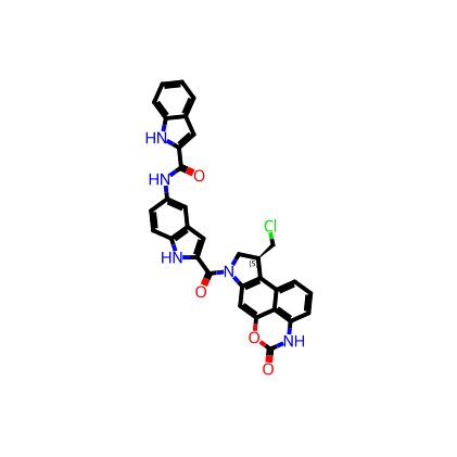 O=C1Nc2cccc3c4c(cc(c23)O1)N(C(=O)c1cc2cc(NC(=O)c3cc5ccccc5[nH]3)ccc2[nH]1)C[C@H]4CCl